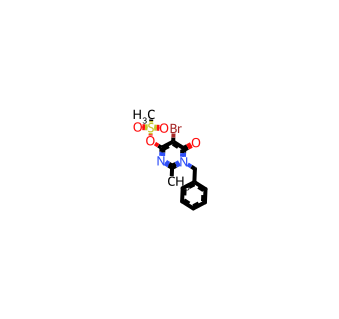 Cc1nc(OS(C)(=O)=O)c(Br)c(=O)n1Cc1ccccc1